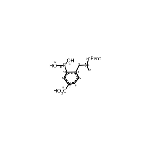 CCCCCN(C)Cc1ccc(C(=O)O)cc1B(O)O